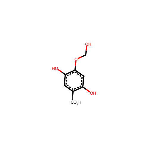 O=C(O)c1cc(O)c(OCO)cc1O